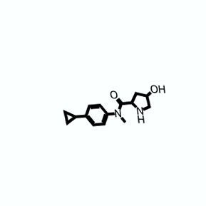 CN(C(=O)C1CC(O)CN1)c1ccc(C2CC2)cc1